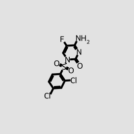 Nc1nc(=O)n(S(=O)(=O)c2ccc(Cl)cc2Cl)cc1F